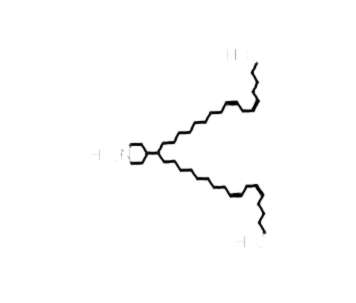 CCCCC/C=C\C/C=C\CCCCCCCC[C](CCCCCCCC/C=C\C/C=C\CCCCC)C1CCN(C)CC1